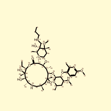 CCCNC[C@]1(O)[C@H](C)O[C@@H](O[C@H]2[C@H](C)[C@@H](O[C@@H]3O[C@H](C)C[C@H](NC)[C@H]3Oc3ccc(OC)nc3C)[C@](C)(O)C[C@@H](C)CN[C@H](C)[C@@H](O)[C@](C)(O)[C@@H](CC)OC(=O)[C@@H]2C)C[C@@]1(C)OC